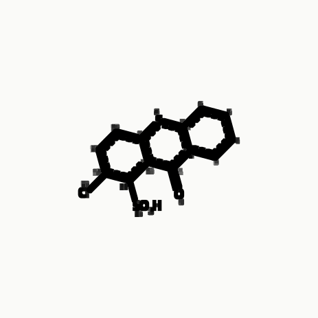 O=c1c2ccccc2sc2ccc(Cl)c(S(=O)(=O)O)c12